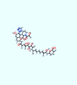 COC1CC(C[C@@H](C)[C@H](CC(=O)C(C)/C=C(\C)[C@@H](O)C(OC)C(=O)C(C)C[C@H](C)/C=C/C=C/C=C(\C)[C@H](C[C@@H]2CCC(C)C(O)O2)OC)OC(=O)C2CCCCN2C(=O)C(C)=O)CCC1n1ncnn1